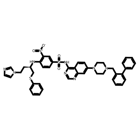 O=[N+]([O-])c1cc(S(=O)(=O)Nc2ncnc3cc(N4CCN(Cc5ccccc5-c5ccccc5)CC4)ccc23)ccc1N[C@H](CCn1ccnc1)CSc1ccccc1